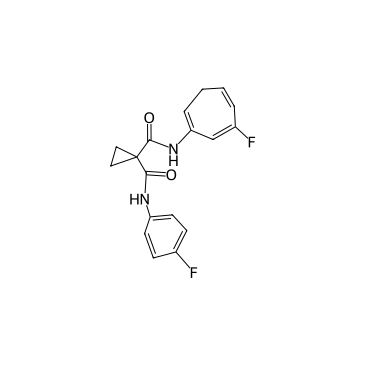 O=C(NC1=CCC=CC(F)=C1)C1(C(=O)Nc2ccc(F)cc2)CC1